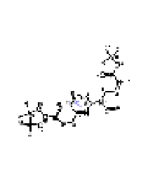 C=CN(CCN(C)C(=O)OC(C)(C)C)N(C)/N=C1/C=CC(B2OC(C)(C)C(C)(C)O2)=C/C1=C/C